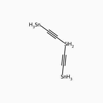 [SnH3][C]#C[SiH2]C#[C][SnH3]